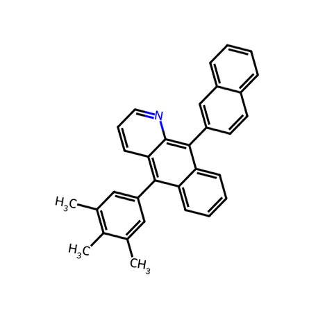 Cc1cc(-c2c3ccccc3c(-c3ccc4ccccc4c3)c3ncccc23)cc(C)c1C